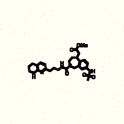 COC(=O)CC1CCN(C(=O)NCCCc2ccc3c(n2)NCCC3)Cc2cc(NS(C)(=O)=O)ccc21